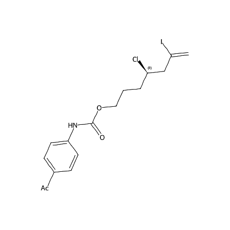 C=C(I)C[C@H](Cl)CCCOC(=O)Nc1ccc(C(C)=O)cc1